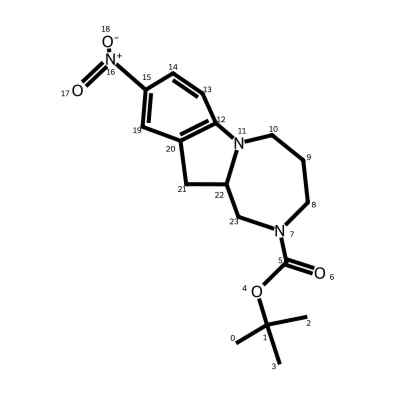 CC(C)(C)OC(=O)N1CCCN2c3ccc([N+](=O)[O-])cc3CC2C1